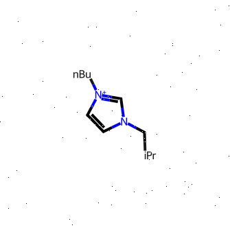 CCCC[n+]1ccn(CC(C)C)c1